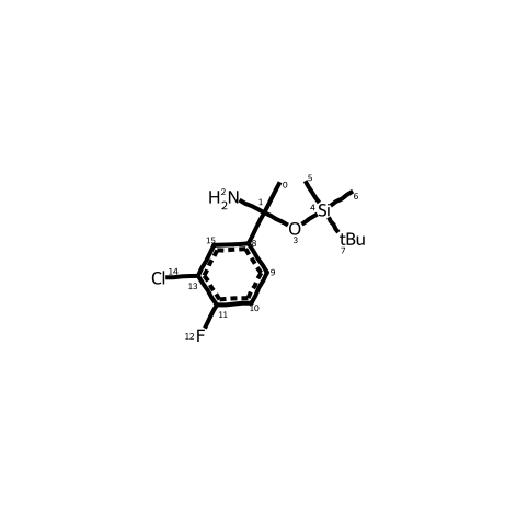 CC(N)(O[Si](C)(C)C(C)(C)C)c1ccc(F)c(Cl)c1